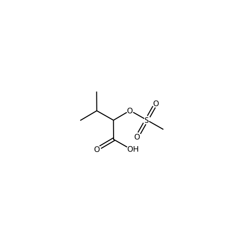 CC(C)C(OS(C)(=O)=O)C(=O)O